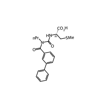 CCCN(C(=O)N[C@@H](CSC)C(=O)O)C(=O)c1cccc(-c2ccccc2)c1